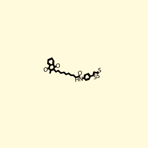 CC1=C(CCCCCCCCCC(=O)Nc2ccc(-c3cc(=S)ss3)cc2)C(=O)c2ccccc2C1=O